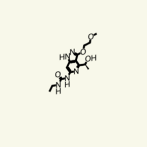 CCNC(=O)Nc1cc2[nH]nc(OCCOC)c2c([C@H](C)O)n1